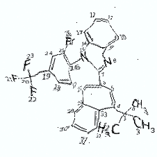 CC(C)(C)c1cc(-c2nc3ccccc3n2-c2ccc(C(F)(F)F)cc2Br)cc2ccccc12